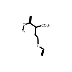 C=COCCC(C(=C)OCC)C(=O)O